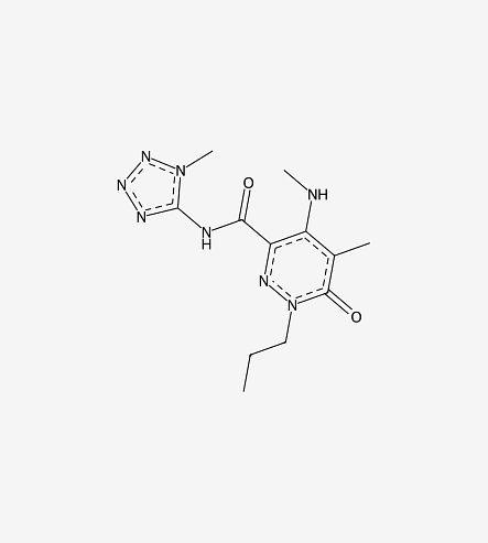 CCCn1nc(C(=O)Nc2nnnn2C)c(NC)c(C)c1=O